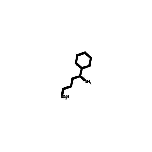 NC(CCCS(=O)(=O)O)C1CCCCC1